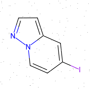 Ic1ccn2nccc2c1